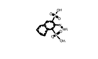 N=Nc1c(S(=O)(=O)O)cc2ccccc2c1S(=O)(=O)O